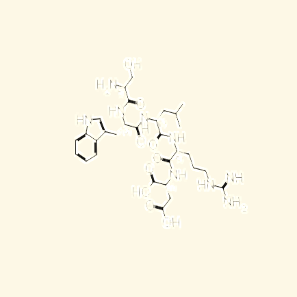 CC(C)C[C@H](NC(=O)[C@H](Cc1c[nH]c2ccccc12)NC(=O)[C@@H](N)CO)C(=O)N[C@@H](CCCNC(=N)N)C(=O)N[C@@H](CC(=O)O)C(=O)O